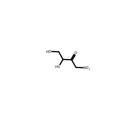 O=C(C[N+](=O)[O-])C(S)CO